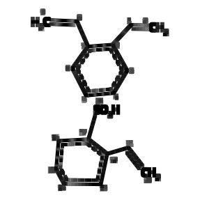 C=Cc1ccccc1C=C.C=Cc1ccccc1S(=O)(=O)O